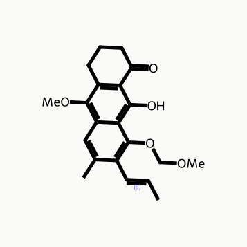 C/C=C/c1c(C)cc2c(OC)c3c(c(O)c2c1OCOC)C(=O)CCC3